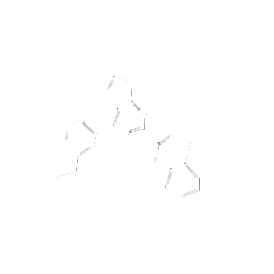 CCOC(=O)Cc1ccccc1NC(=O)c1nc(-c2cccc(CN)c2)c2ccsc2n1